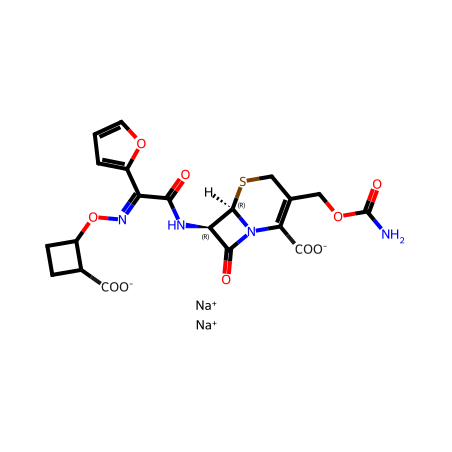 NC(=O)OCC1=C(C(=O)[O-])N2C(=O)[C@@H](NC(=O)C(=NOC3CCC3C(=O)[O-])c3ccco3)[C@H]2SC1.[Na+].[Na+]